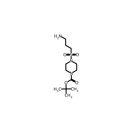 CC(C)(C)OC(=O)N1CCN(S(=O)(=O)CCCN)CC1